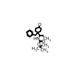 CCC(NC(=O)OC(C)(C)C)C1(Cc2ccccc2)CCC(=O)CC1